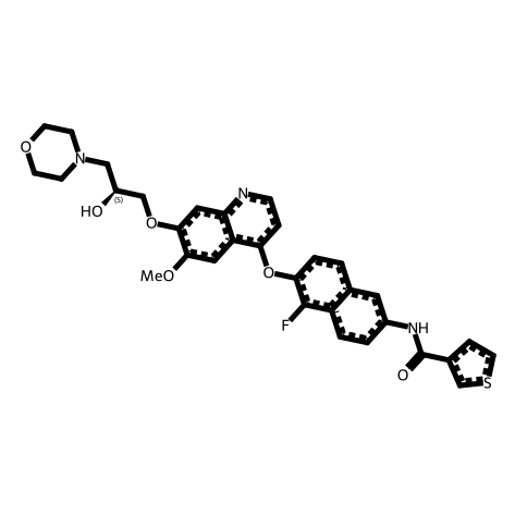 COc1cc2c(Oc3ccc4cc(NC(=O)c5ccsc5)ccc4c3F)ccnc2cc1OC[C@@H](O)CN1CCOCC1